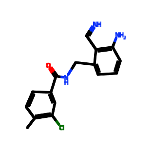 Cc1ccc(C(=O)NCc2cccc(N)c2C=N)cc1Cl